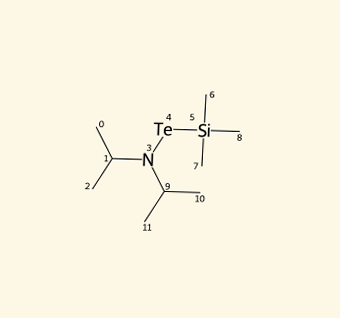 CC(C)N([Te][Si](C)(C)C)C(C)C